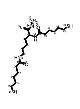 NNC(=O)C(CCCCNC(=O)CCCCCS)NC(=O)CCCCCS